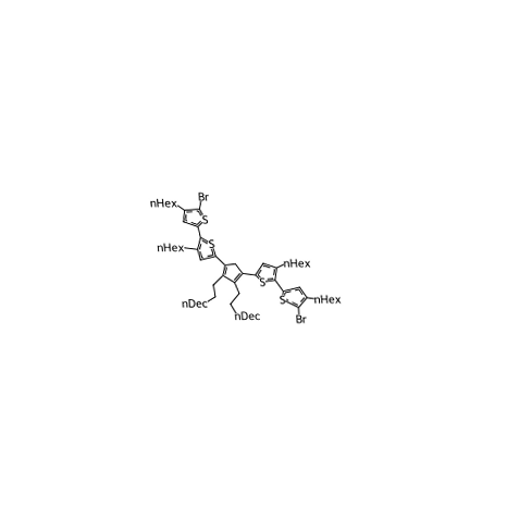 CCCCCCCCCCCCC1=C(c2cc(CCCCCC)c(-c3cc(CCCCCC)c(Br)s3)s2)CC(c2cc(CCCCCC)c(-c3cc(CCCCCC)c(Br)s3)s2)=C1CCCCCCCCCCCC